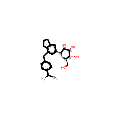 CC(C)c1ccc(Cc2cc([C@@H]3O[C@H](CO)[C@@H](O)[C@H](O)[C@H]3O)cc3c2CCC3)cc1